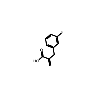 C=C(Cc1cccc(F)c1)C(=O)O